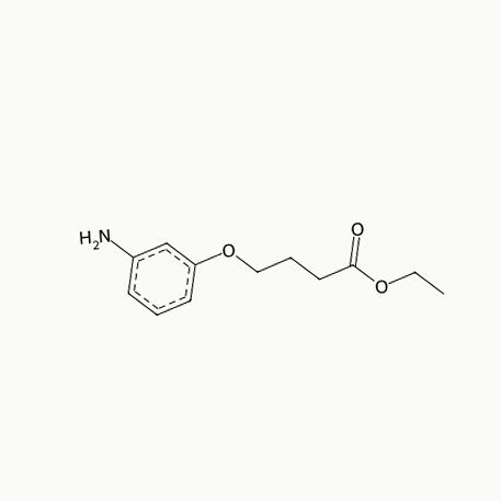 CCOC(=O)CCCOc1cccc(N)c1